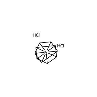 Cl.Cl.[CH]12[CH]3[CH]4[CH]5[CH]1[V]23451678[CH]2[CH]1[CH]6[CH]7[CH]28